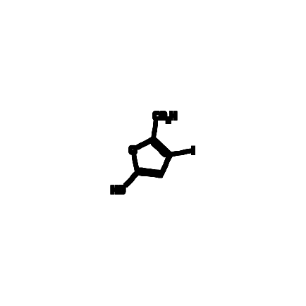 O=C(O)c1oc(O)cc1I